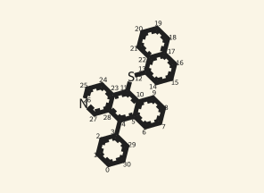 c1ccc(-c2c3ccccc3c(Sc3cccc4ccccc34)c3ccncc23)cc1